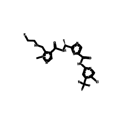 C[C@@H](NC(=O)c1cnn(C)c1CNCCF)c1ncc(C(=O)Nc2cc(C(F)(F)F)c(Cl)cn2)s1